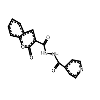 O=C(NNC(=O)c1cc2ccccc2oc1=O)c1ccncc1